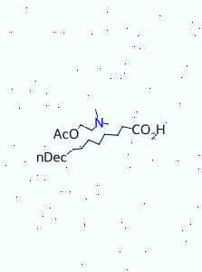 CC(=O)OCCN(C)C.CCCCCCCCCCCCCCCCCC(=O)O